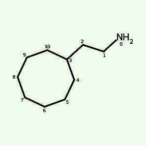 NCCC1CCCCCCC1